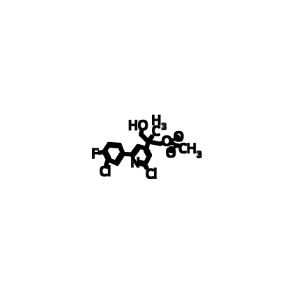 CC(CO)(COS(C)(=O)=O)c1cc(Cl)nc(-c2ccc(F)c(Cl)c2)c1